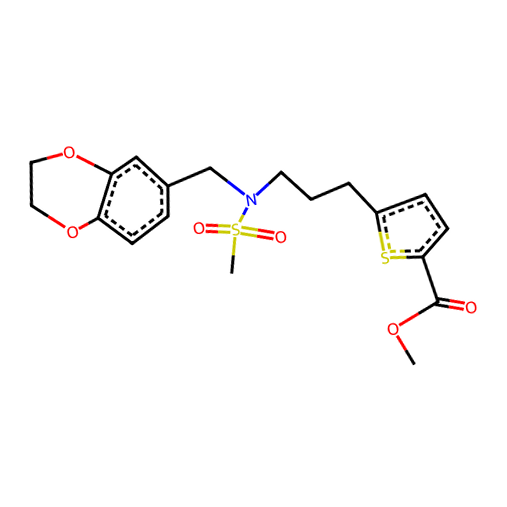 COC(=O)c1ccc(CCCN(Cc2ccc3c(c2)OCCO3)S(C)(=O)=O)s1